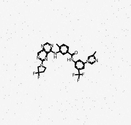 Cc1cn(-c2cc(NC(=O)c3ccc(C)c(Nc4ncnc5cnc(N6CCC(F)(F)C6)nc45)c3)cc(C(F)(F)F)c2)cn1